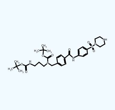 CC(C)(C)OC(=O)NCCCN(Cc1ccc(C(=O)Nc2ccc(S(=O)(=O)N3CCNCC3)cc2)cc1)C(=O)OC(C)(C)C